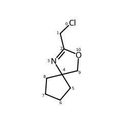 ClCC1=NC2(CCCC2)CO1